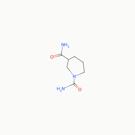 NC(=O)C1CCCN(C(N)=O)C1